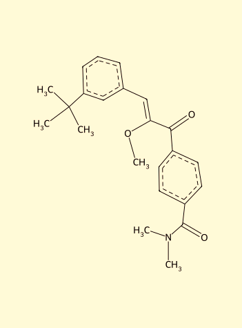 COC(=Cc1cccc(C(C)(C)C)c1)C(=O)c1ccc(C(=O)N(C)C)cc1